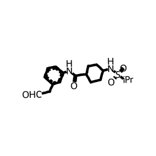 CC(C)S(=O)(=O)NC1CCC(C(=O)Nc2cccc(CC=O)c2)CC1